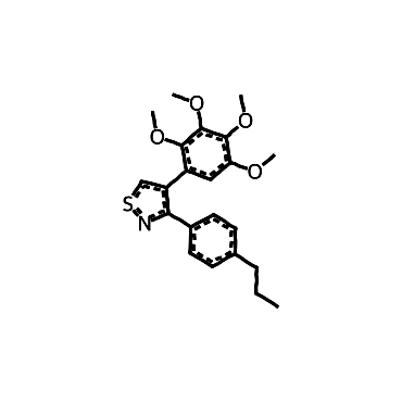 CCCc1ccc(-c2nscc2-c2cc(OC)c(OC)c(OC)c2OC)cc1